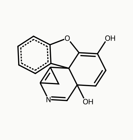 OC1=C2Oc3ccccc3C23C2=C(C2)N=CC3(O)C=C1